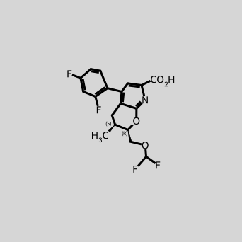 C[C@H]1Cc2c(-c3ccc(F)cc3F)cc(C(=O)O)nc2O[C@H]1COC(F)F